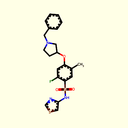 Cc1cc(S(=O)(=O)Nc2cscn2)c(F)cc1OC1CCN(Cc2ccccc2)C1